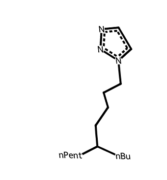 CCCCCC(CCCC)CCCCn1ccnn1